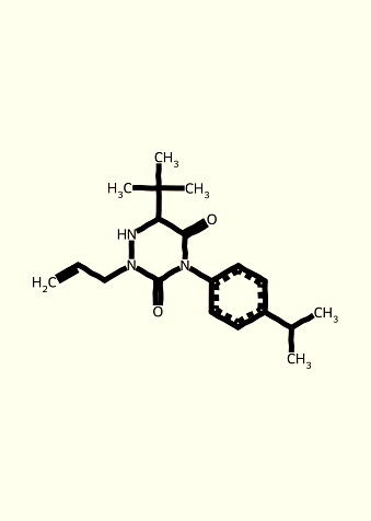 C=CCN1NC(C(C)(C)C)C(=O)N(c2ccc(C(C)C)cc2)C1=O